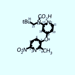 Cc1nc([N+](=O)[O-])ccc1Oc1ccnc(N(CC(C)(C)C)C(=O)O)c1